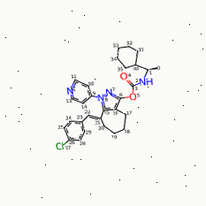 C[C@@H](NC(=O)Oc1nn(-c2ccncc2)c2c1CCCC/C2=C\c1ccc(Cl)cc1)C1CCCCC1